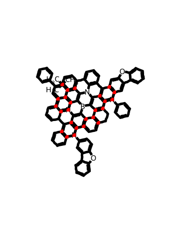 CC(C)(C)c1cc2c3c(c1)N(C1C(C4=CC(c5ccccc5)=CCC4)=CC=CC1C1=CCCC(C4=CC=CCC4)=C1)c1cc(N(c4ccccc4)c4ccc5oc6ccccc6c5c4)ccc1B3c1ccc(N(c3ccccc3)c3ccc4oc5ccccc5c4c3)cc1N2c1c(C2=CC(C3=CC=CCC3)=CCC2)cccc1-c1cccc(C2C=CC=CC2)c1